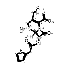 O=C(Cc1cccs1)N[C@@H]1C(=O)N2C(C(=O)[O-])=C(CO)CS[C@@H]12.[Na+]